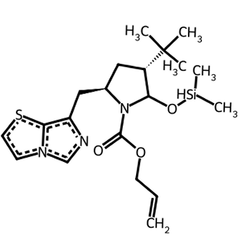 C=CCOC(=O)N1C(O[SiH](C)C)[C@@H](C(C)(C)C)C[C@@H]1Cc1ncn2ccsc12